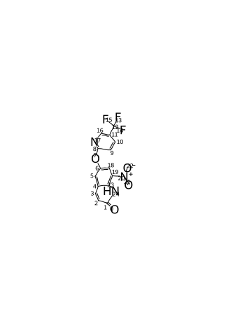 O=c1ccc2cc(Oc3ccc(C(F)(F)F)cn3)cc([N+](=O)[O-])c2[nH]1